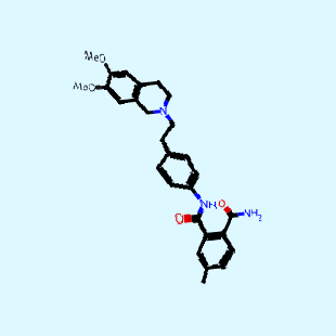 COc1cc2c(cc1OC)CN(CCc1ccc(NC(=O)c3cc(C)ccc3C(N)=O)cc1)CC2